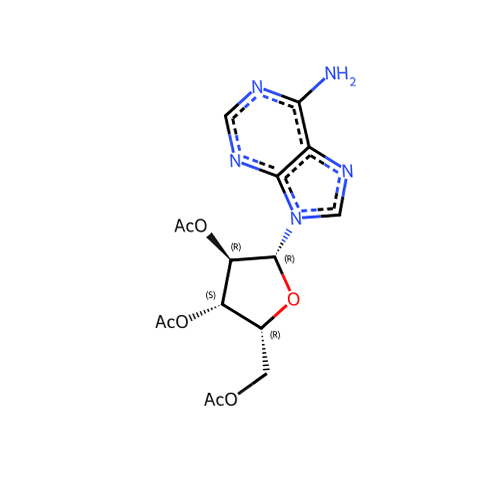 CC(=O)OC[C@H]1O[C@@H](n2cnc3c(N)ncnc32)[C@H](OC(C)=O)[C@H]1OC(C)=O